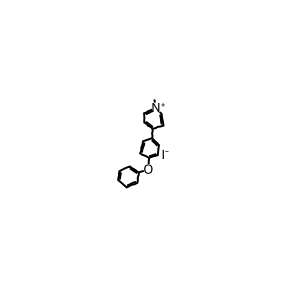 C[n+]1ccc(-c2ccc(Oc3ccccc3)cc2)cc1.[I-]